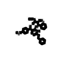 CC(C)[C@H](NC(=O)OCc1ccccc1)C(=O)Nc1ccc([N+](=O)[O-])cc1.COC(=O)C(N)Cc1ccccc1